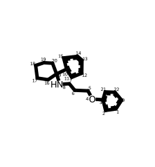 c1ccc(OCCCNC2(c3ccccc3)CCCCC2)cc1